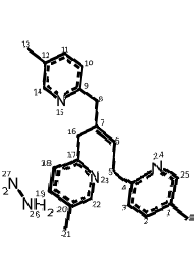 Cc1ccc(CC=C(Cc2ccc(C)cn2)Cc2ccc(C)cn2)nc1.NN